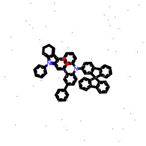 C1=c2c(n(-c3ccccc3)c3cc(-c4cc(-c5ccccc5)ccc4N(c4ccccc4)c4ccc5c(c4)C4(c6ccccc6-c6ccccc64)c4ccccc4-5)ccc23)=CCC1